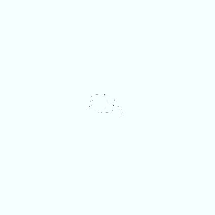 O=CC1C2C=CC1CC2